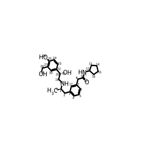 C[C@H](Cc1cccc(CC(=O)NC2CCCC2)c1)NC[C@@H](O)c1ccc(O)c(CO)c1